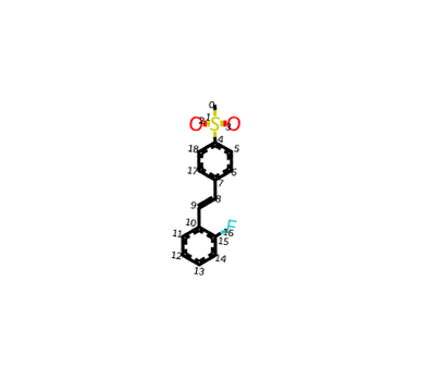 CS(=O)(=O)c1ccc(/C=C/c2ccccc2F)cc1